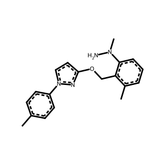 Cc1ccc(-n2ccc(OCc3c(C)cccc3N(C)N)n2)cc1